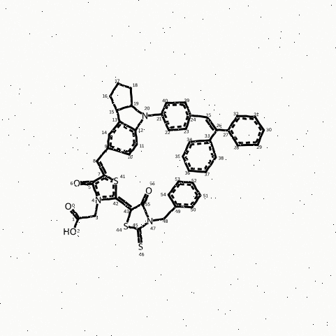 O=C(O)Cn1c(=O)/c(=C/c2ccc3c(c2)C2CCCC2N3c2ccc(C=C(c3ccccc3)c3ccccc3)cc2)s/c1=C1/SC(=S)N(Cc2ccccc2)C1=O